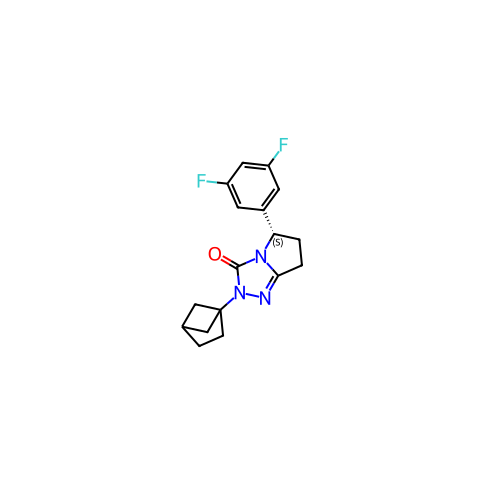 O=c1n(C23CCC(C2)C3)nc2n1[C@H](c1cc(F)cc(F)c1)CC2